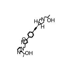 CC(O)CN1C[C@@H]2[C@H](C#Cc3ccc(-c4cc(Cn5ccnc5[C@H](C)O)no4)cc3)[C@@H]2C1